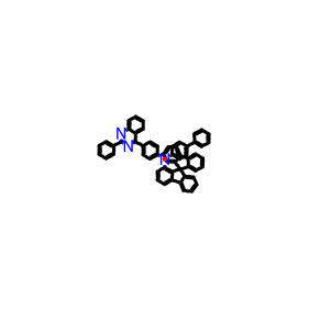 c1ccc(-c2ccc(N(c3ccc(-c4nc(-c5ccccc5)nc5ccccc45)cc3)c3cccc4c3C3(c5ccccc5-c5ccccc53)c3ccccc3-4)cc2)cc1